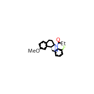 CCC(=O)N[C@H]1CCc2ccc(OC)cc2[C@H]1Cc1cccc(F)c1